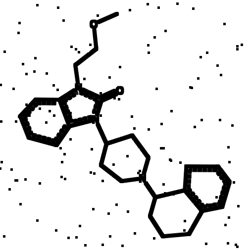 COCCn1c(=O)n(C2CCN(C3CCCc4ccccc43)CC2)c2ccccc21